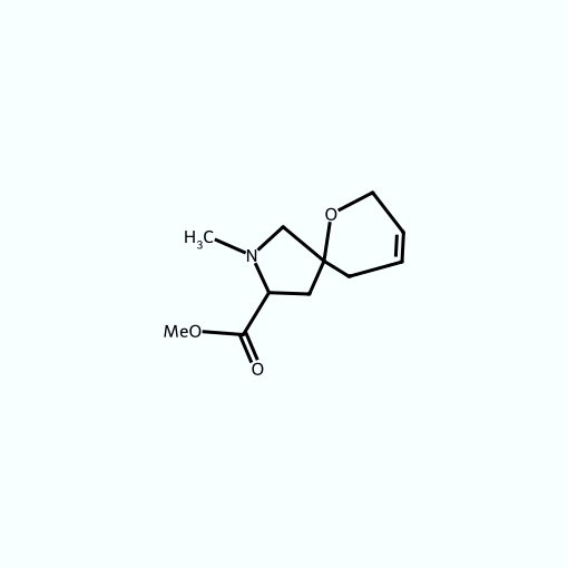 COC(=O)C1CC2(CC=CCO2)CN1C